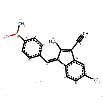 C#CC1=C(C)C(=Cc2ccc([S+](C)[O-])cc2)c2ccc([N+](=O)[O-])cc21